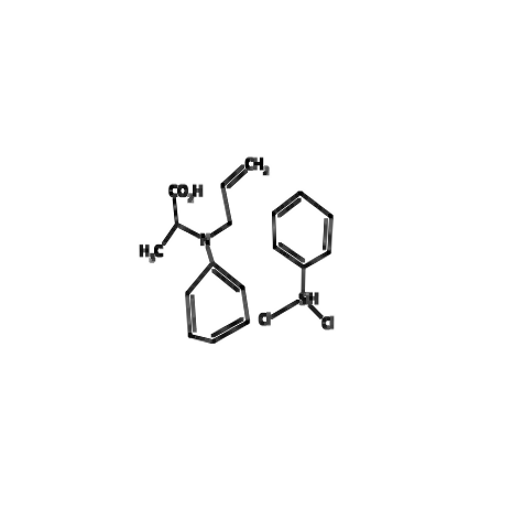 C=CCN(c1ccccc1)C(C)C(=O)O.Cl[SiH](Cl)c1ccccc1